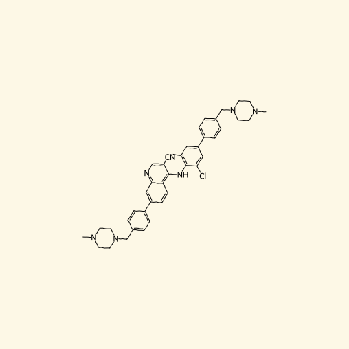 Cc1cc(-c2ccc(CN3CCN(C)CC3)cc2)cc(Cl)c1Nc1c(C#N)cnc2cc(-c3ccc(CN4CCN(C)CC4)cc3)ccc12